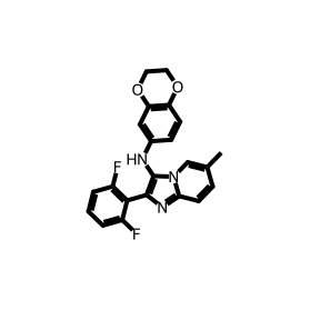 Cc1ccc2nc(-c3c(F)cccc3F)c(Nc3ccc4c(c3)OCCO4)n2c1